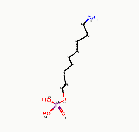 NCCCCCCCCCOP(=O)(O)O